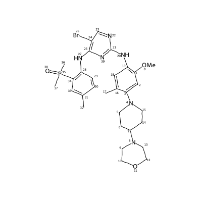 COc1cc(N2CCC(N3CCOCC3)CC2)c(C)cc1Nc1ncc(Br)c(Nc2ccc(C)cc2P(C)(C)=O)n1